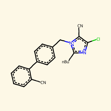 CCCCc1nc(Cl)c(C#N)n1Cc1ccc(-c2ccccc2C#N)cc1